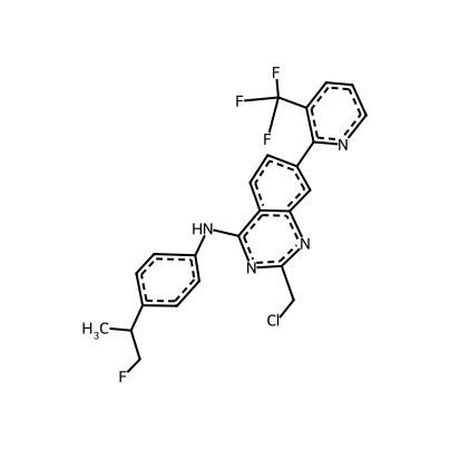 CC(CF)c1ccc(Nc2nc(CCl)nc3cc(-c4ncccc4C(F)(F)F)ccc23)cc1